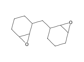 C1CC(CC2CCCC3OC23)C2OC2C1